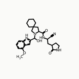 COc1cccc2[nH]c(C(O)N3CC4(CCCCC4)CC3C(=O)NC(C#N)CC3CCNC3=O)cc12